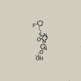 CC(C)(O)COc1ccc(-n2ccnc(SCCc3ccccc3F)c2=O)cn1